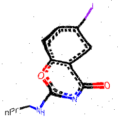 CCCNc1nc(=O)c2cc(I)ccc2o1